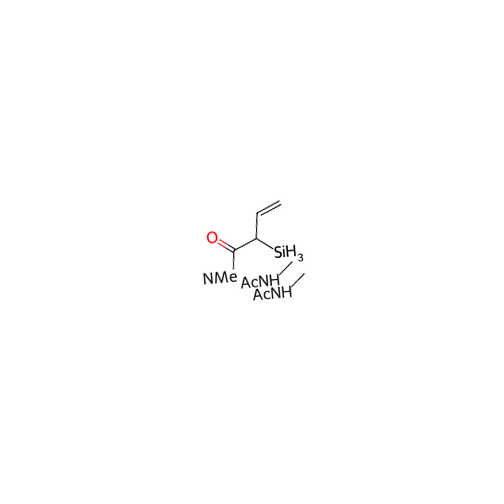 C=CC([SiH3])C(=O)NC.CNC(C)=O.CNC(C)=O